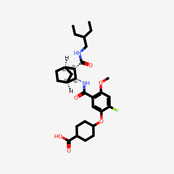 CCC(CC)CNC(=O)[C@H]1[C@@H]2CC[C@@H](C2)[C@H]1NC(=O)c1cc(OC2CCC(C(=O)O)CC2)c(F)cc1OC